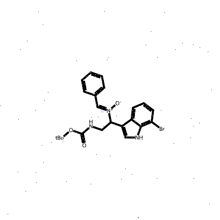 CC(C)(C)OC(=O)NCC(c1c[nH]c2c(Br)cccc12)/[N+]([O-])=C/c1ccccc1